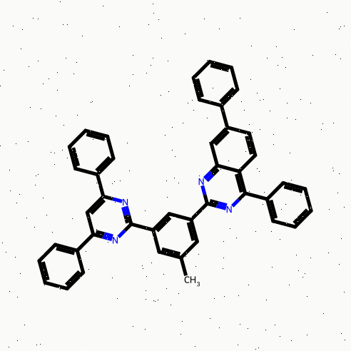 Cc1cc(-c2nc(-c3ccccc3)cc(-c3ccccc3)n2)cc(-c2nc(-c3ccccc3)c3ccc(-c4ccccc4)cc3n2)c1